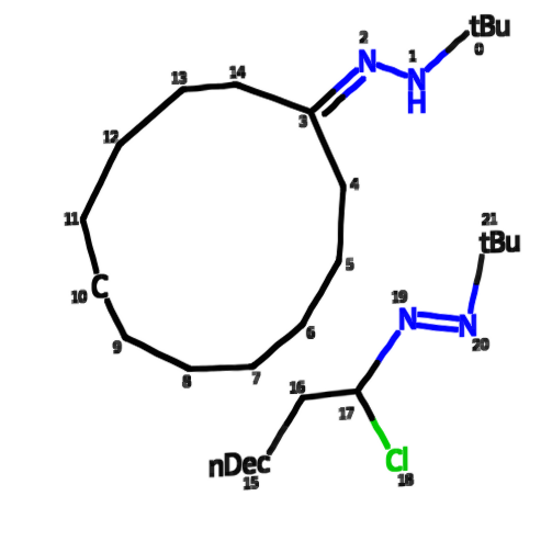 CC(C)(C)NN=C1CCCCCCCCCCC1.CCCCCCCCCCCC(Cl)N=NC(C)(C)C